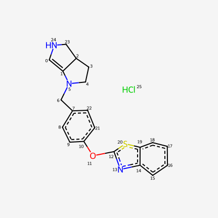 C1=C2C(CCN2Cc2ccc(Oc3nc4ccccc4s3)cc2)CN1.Cl